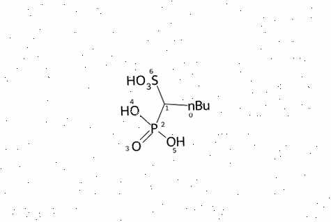 CCCCC(P(=O)(O)O)S(=O)(=O)O